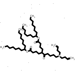 C=CCCN(CCC=C)CCCCC(=O)C(CCCC(=O)OC(CCCCCCC)CCCCCCC)CCCC(=O)OC(CCCCCCC)CCCCCCC